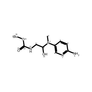 CN(c1ccc(N)nc1)C(O)CNC(=O)OC(C)(C)C